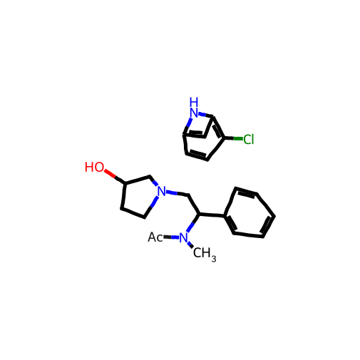 CC(=O)N(C)C(CN1CCC(O)C1)c1ccccc1.Clc1ccc2cc1N2